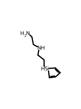 NCCNCCC[SiH]1C=CC=C1